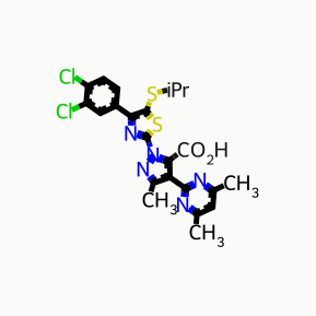 Cc1cc(C)nc(-c2c(C)nn(-c3nc(-c4ccc(Cl)c(Cl)c4)c(SC(C)C)s3)c2C(=O)O)n1